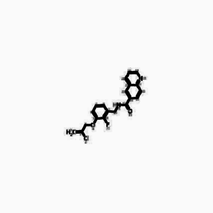 C=C(Cl)COc1cccc(CNC(=O)c2ccc3ncccc3c2)c1F